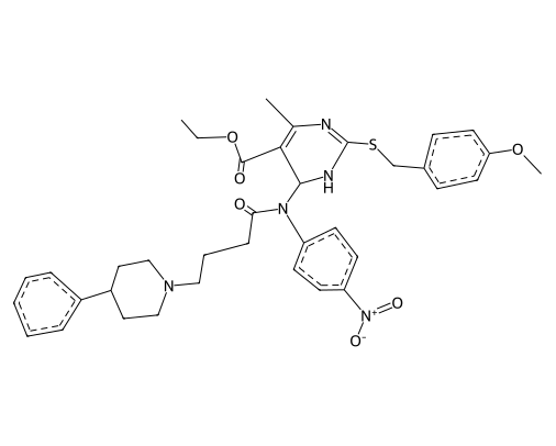 CCOC(=O)C1=C(C)N=C(SCc2ccc(OC)cc2)NC1N(C(=O)CCCN1CCC(c2ccccc2)CC1)c1ccc([N+](=O)[O-])cc1